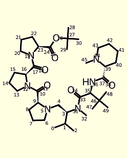 CC(C)[C@@H](CN1CCC[C@H]1C(=O)N1CCC[C@H]1C(=O)N1CCC[C@H]1C(=O)OC(C)(C)C)N(C)C(=O)[C@@H](NC(=O)[C@H]1CCCCN1C)C(C)(C)C